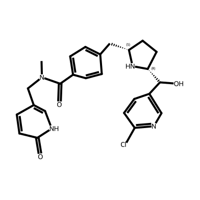 CN(Cc1ccc(=O)[nH]c1)C(=O)c1ccc(C[C@@H]2CC[C@H](C(O)c3ccc(Cl)nc3)N2)cc1